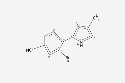 N#Cc1ccc(-c2nc(C(F)(F)F)c[nH]2)c(Br)c1